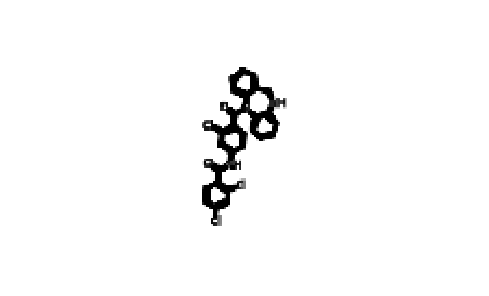 O=C(Nc1ccc(C(=O)N2c3ccccc3CNc3ccccc32)c(Cl)c1)c1ccc(Cl)cc1Cl